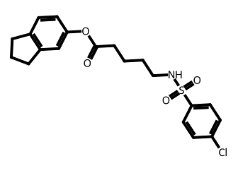 O=C(CCCCNS(=O)(=O)c1ccc(Cl)cc1)Oc1ccc2c(c1)CCC2